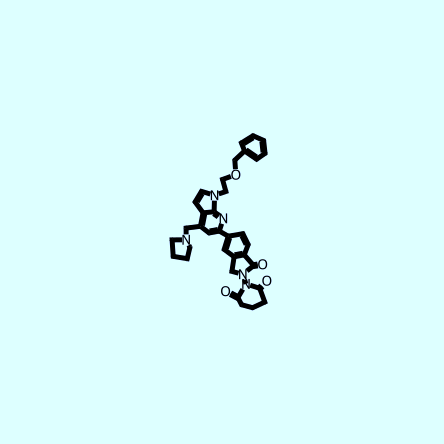 O=C1c2ccc(-c3cc(CN4CCCC4)c4ccn(CCOCc5ccccc5)c4n3)cc2CN1N1C(=O)CCCC1=O